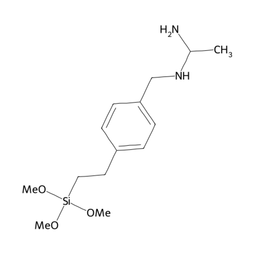 CO[Si](CCc1ccc(CNC(C)N)cc1)(OC)OC